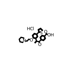 C=C(C(=O)c1ccc(C(=O)O)cc1)c1cc(-c2cccs2)ccc1OCCN1CCCCC1.Cl